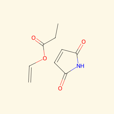 C=COC(=O)CC.O=C1C=CC(=O)N1